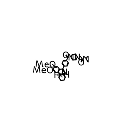 COc1cc2c(cc1OC)[C@H]1CCCC[C@H]1N=C2c1ccc(C(=O)N2CCN(CC(=O)N(C)C)CC2)cc1